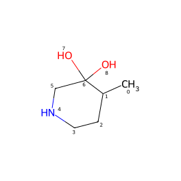 CC1CCNCC1(O)O